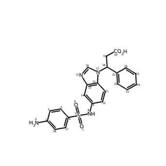 Nc1ccc(S(=O)(=O)Nc2ccc3c(c2)ncn3C(CC(=O)O)c2ccccc2)cc1